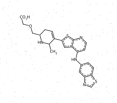 CC1NC(COCC(=O)O)CC=C1c1cc2c(Nc3ccc4scnc4c3)ccnc2s1